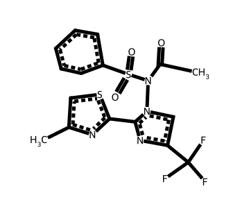 CC(=O)N(n1cc(C(F)(F)F)nc1-c1nc(C)cs1)S(=O)(=O)c1ccccc1